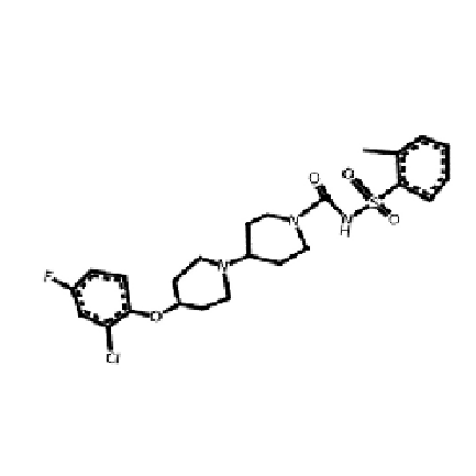 Cc1ccccc1S(=O)(=O)NC(=O)N1CCC(N2CCC(Oc3ccc(F)cc3Cl)CC2)CC1